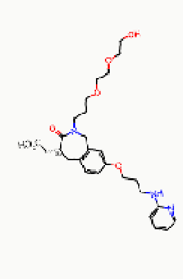 O=C(O)C[C@H]1Cc2ccc(OCCCNc3ccccn3)cc2CN(CCCOCCOCCO)C1=O